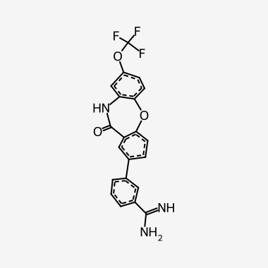 N=C(N)c1cccc(-c2ccc3c(c2)C(=O)Nc2cc(OC(F)(F)F)ccc2O3)c1